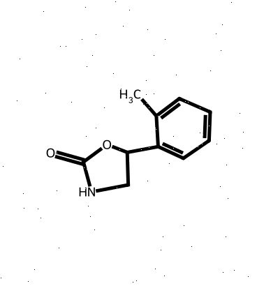 Cc1ccccc1C1CNC(=O)O1